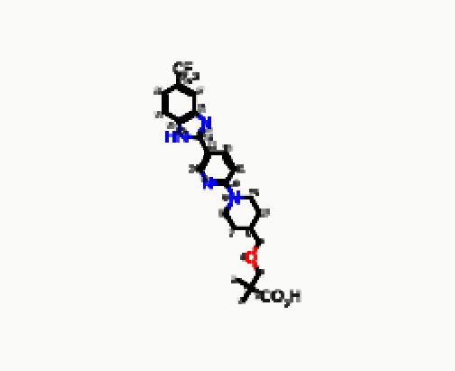 CC(C)(COCC1CCN(c2ccc(-c3nc4cc(C(F)(F)F)ccc4[nH]3)cn2)CC1)C(=O)O